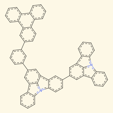 c1cc(-c2ccc3c4ccccc4c4ccccc4c3c2)cc(-c2cc3c4ccccc4n4c5ccc(-c6cc7c8ccccc8n8c9ccccc9c(c6)c78)cc5c(c2)c34)c1